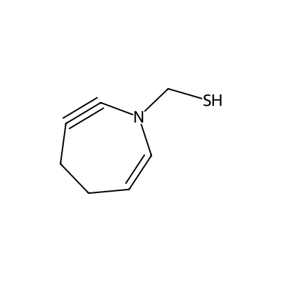 SCN1C#CCCC=C1